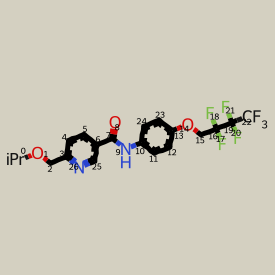 CC(C)OCc1ccc(C(=O)Nc2ccc(OCC(F)(F)C(F)(F)C(F)(F)F)cc2)cn1